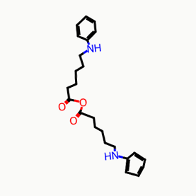 O=C(CCCCCNc1ccccc1)OC(=O)CCCCCNc1ccccc1